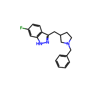 Fc1ccc2c(CC3CCN(Cc4ccccc4)C3)n[nH]c2c1